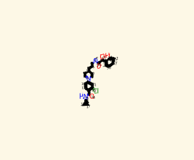 CN(CCCC1CCN(c2ccc(C(=O)NC3CC3)c(Cl)c2)CC1)C(=O)C(O)c1ccccc1